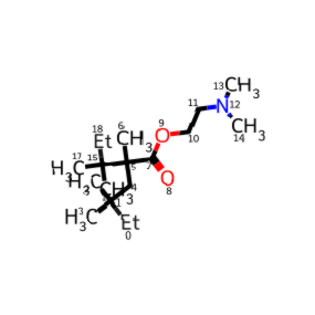 CCC(C)(C)CC(C)(C(=O)OCCN(C)C)C(C)(C)CC